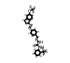 FC(F)(F)Oc1ccc2c(c1)CCC2=NOc1ccc(C=NNC(=S)Nc2ccccc2C(F)(F)F)cc1